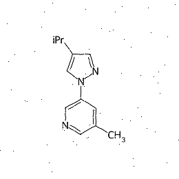 Cc1cncc(-n2cc(C(C)C)cn2)c1